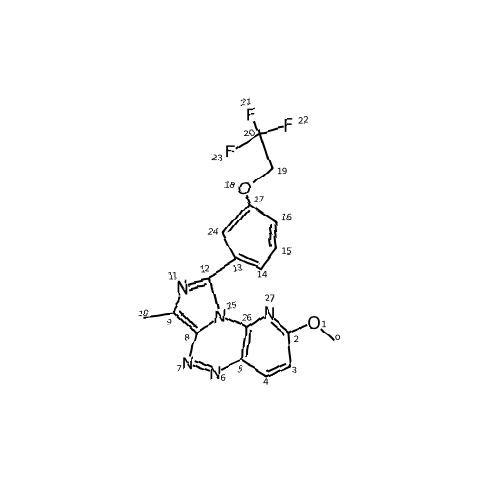 COc1ccc2nnc3c(C)nc(-c4cccc(OCC(F)(F)F)c4)n3c2n1